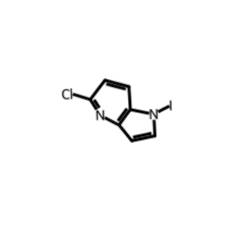 Clc1ccc2c(ccn2I)n1